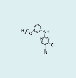 COc1cccc(Nc2ncc(C#N)c(Cl)n2)c1